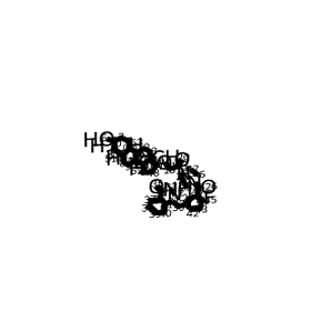 C[C@]12CCC(O)C[C@@H]1CC[C@@H]1[C@@H]2CC[C@]2(C)[C@@H](OCC(=O)N3CCN(C(=O)c4cc(Cc5n[nH]c(=O)c6ccccc56)ccc4F)CC3)CC[C@@H]12